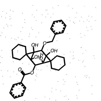 O=C(OC1C2(O)C3(CCCCC3)C2(O)C(OCc2ccccc2)C2(O)C3(CCCCC3)C12O)c1ccccc1